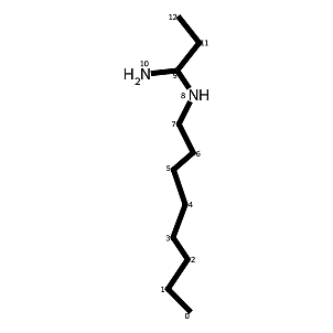 CCCCCCCCNC(N)CC